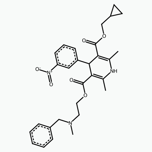 CC1=C(C(=O)OCCN(C)Cc2ccccc2)C(c2cccc([N+](=O)[O-])c2)C(C(=O)OCC2CC2)=C(C)N1